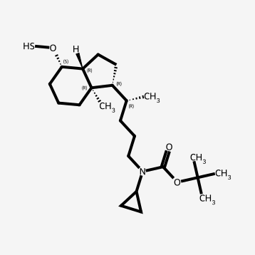 C[C@H](CCCN(C(=O)OC(C)(C)C)C1CC1)[C@H]1CC[C@H]2[C@@H](OS)CCC[C@]12C